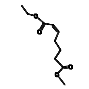 CCOC(=O)/C=C\CCCC(=O)OC